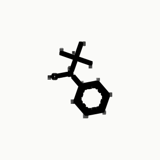 CC(C)(C)N([O])c1ccccc1